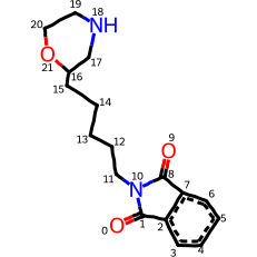 O=C1c2ccccc2C(=O)N1CCCCCC1CNCCO1